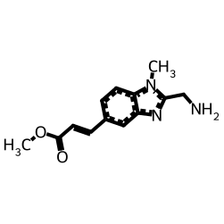 COC(=O)C=Cc1ccc2c(c1)nc(CN)n2C